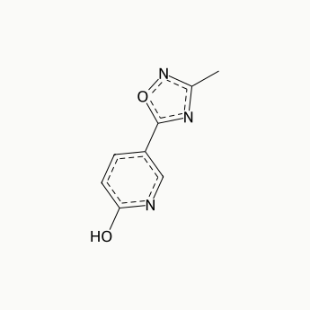 Cc1noc(-c2ccc(O)nc2)n1